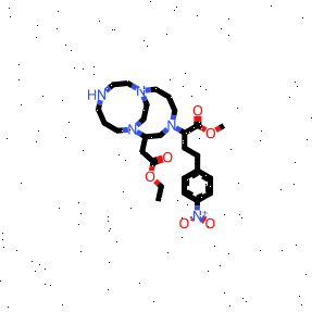 CCOC(=O)CC1CN(C(CCc2ccc([N+](=O)[O-])cc2)C(=O)OC)CCCN2CCNCCCN1CC2